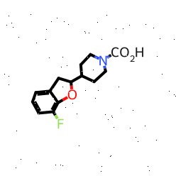 O=C(O)N1CCC(C2Cc3cccc(F)c3O2)CC1